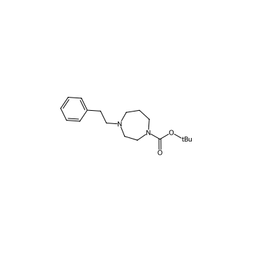 CC(C)(C)OC(=O)N1CCCN(CCc2ccccc2)CC1